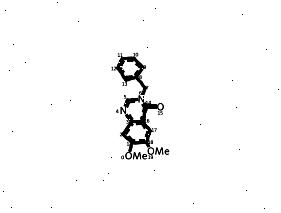 COc1cc2ncn(Cc3ccccc3)c(=O)c2cc1OC